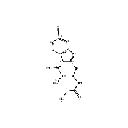 CC(C)(C)OC(=O)NCCc1cc2cc(Br)ccc2n1C(=O)OC(C)(C)C